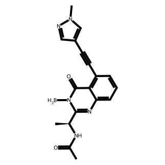 Bn1c([C@H](C)NC(C)=O)nc2cccc(C#Cc3cnn(C)c3)c2c1=O